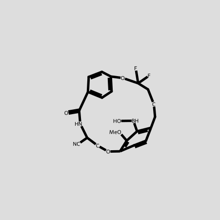 COc1c2ccc(c1BO)CCCC(F)(F)Oc1ccc(cc1)C(=O)NC(C#N)CO2